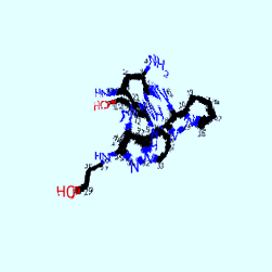 N=C1C=C(N)/C(=N/c2c(NCCCO)nn3ccccc23)N/C1=N\c1c(NCCCO)nn2ccccc12